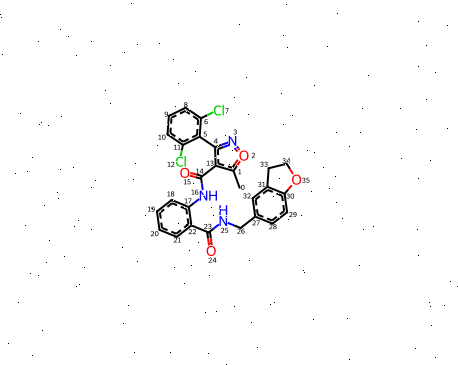 Cc1onc(-c2c(Cl)cccc2Cl)c1C(=O)Nc1ccccc1C(=O)NCc1ccc2c(c1)CCO2